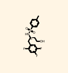 Cc1ccc(S(=O)(=O)N[C@@H](CCO)Cc2cc(F)c(F)cc2F)cc1